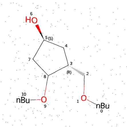 CCCCOC[C@H]1C[C@H](O)CC1OCCCC